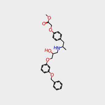 COC(=O)COc1ccc(CC(C)NCC(O)COc2cccc(OCc3ccccc3)c2)cc1